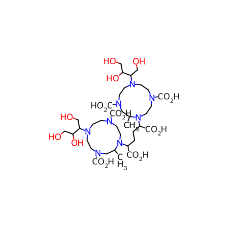 CC1CN(C(=O)O)CCN(C(CO)C(O)CO)CCN(C(=O)O)CCN1C(CCC(C(=O)O)N1CCN(C(=O)O)CCN(C(CO)C(O)CO)CCN(C(=O)O)CC1C)C(=O)O